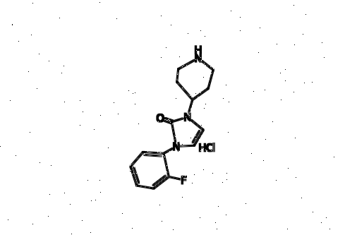 Cl.O=c1n(-c2ccccc2F)ccn1C1CCNCC1